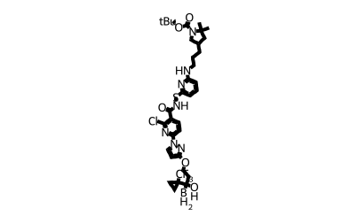 BC(O)(CCOc1ccn(-c2ccc(C(=O)NSc3cccc(NCCCC4CN(C(=O)OC(C)(C)C)C(C)(C)C4)n3)c(Cl)n2)n1)C1(C(F)(F)F)CC1